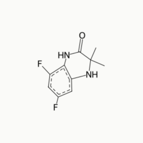 CC1(C)Nc2cc(F)cc(F)c2NC1=O